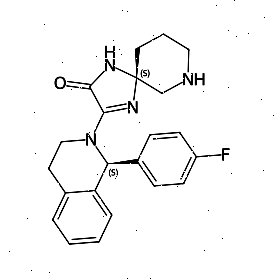 O=C1N[C@@]2(CCCNC2)N=C1N1CCc2ccccc2[C@@H]1c1ccc(F)cc1